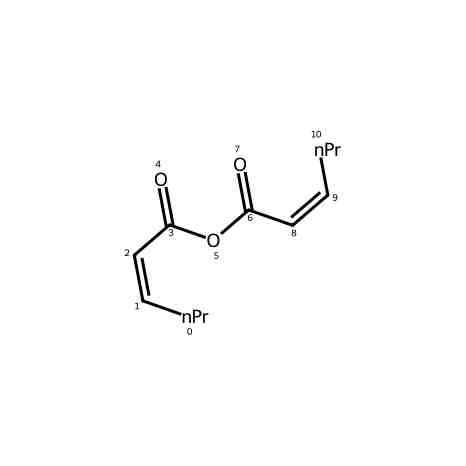 CCC/C=C\C(=O)OC(=O)/C=C\CCC